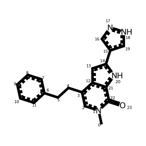 Cn1cc(CCc2ccccc2)c2cc(-c3cn[nH]c3)[nH]c2c1=O